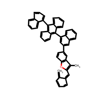 C=c1cccc/c1=C/c1oc2ccc(-c3cc(-c4c5ccccc5c(-c5cccc6ccccc56)c5ccccc45)c4ccccc4c3)cc2c1C